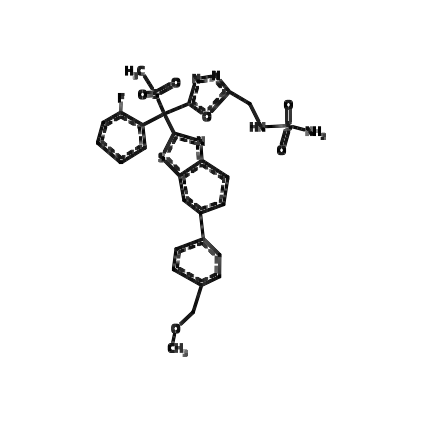 COCc1ccc(-c2ccc3nc(C(c4nnc(CNS(N)(=O)=O)o4)(c4ccccc4F)S(C)(=O)=O)sc3c2)cc1